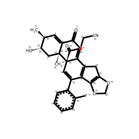 C[C@H]1C=C2C(=O)C=C3C4=C(C(c5ccccc5F)=C[C@]3(C(=O)SCC#N)[C@@]2(C)C[C@@H]1O)C1=C(C4)OCO1